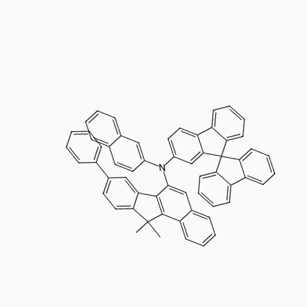 CC1(C)c2ccc(-c3ccccc3)cc2-c2c(N(c3ccc4c(c3)C3(c5ccccc5-c5ccccc53)c3ccccc3-4)c3ccc4ccccc4c3)cc3ccccc3c21